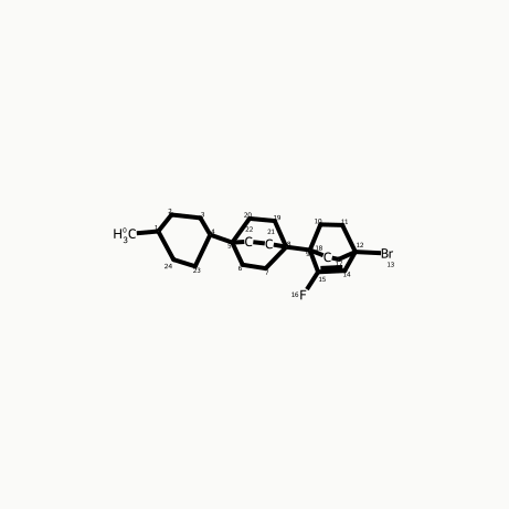 CC1CCC(C23CCC(C45CCC(Br)(C=C4F)CC5)(CC2)CC3)CC1